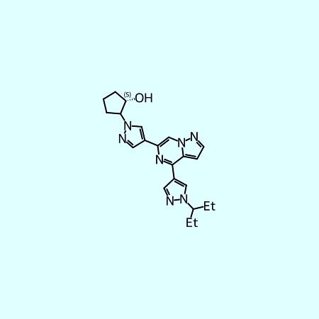 CCC(CC)n1cc(-c2nc(-c3cnn(C4CCC[C@@H]4O)c3)cn3nccc23)cn1